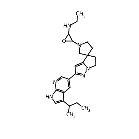 CCNC1OC1N1CCC2(CCn3nc(-c4cnc5[nH]cc(C(C)CC)c5c4)cc32)C1